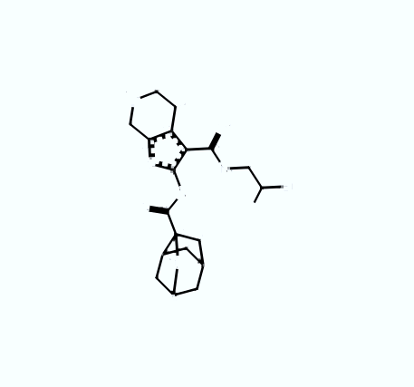 CCC(O)CNC(=O)c1c(NC(=O)C23CC4CC(CC2C4)C3)sc2c1CCOC2